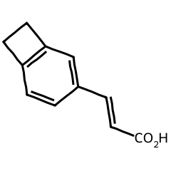 O=C(O)C=Cc1ccc2c(c1)CC2